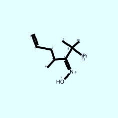 C=CCC(C)C(=NO)C(C)(C)C(C)C